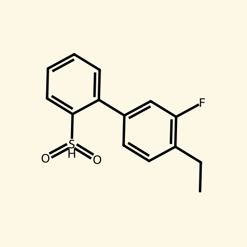 CCc1ccc(-c2ccccc2[SH](=O)=O)cc1F